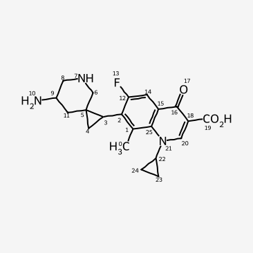 Cc1c(C2CC23CNCC(N)C3)c(F)cc2c(=O)c(C(=O)O)cn(C3CC3)c12